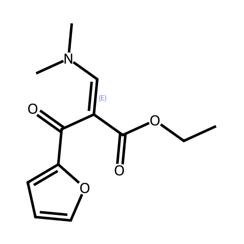 CCOC(=O)/C(=C/N(C)C)C(=O)c1ccco1